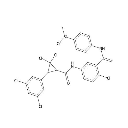 C=C(Nc1ccc([S+](C)[O-])cc1)c1cc(NC(=O)C2C(c3cc(Cl)cc(Cl)c3)C2(Cl)Cl)ccc1Cl